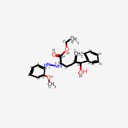 C=C(CC(NNc1ccccc1OC)C(=O)OCC)C(O)c1ccccc1